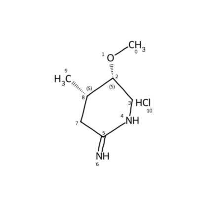 CO[C@@H]1CNC(=N)C[C@@H]1C.Cl